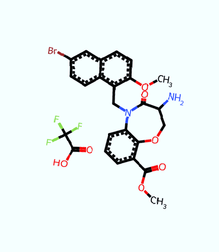 COC(=O)c1cccc2c1OCC(N)C(=O)N2Cc1c(OC)ccc2cc(Br)ccc12.O=C(O)C(F)(F)F